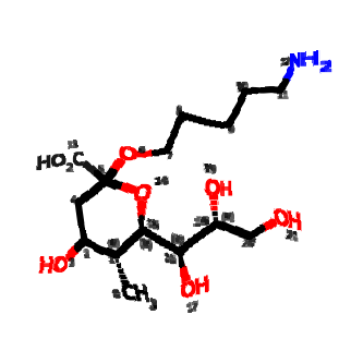 C[C@@H]1C(O)CC(OCCCCCN)(C(=O)O)O[C@H]1[C@H](O)[C@H](O)CO